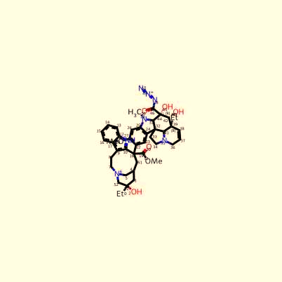 CCC1(O)CC2CN(CCc3c([nH]c4ccccc34)C(C(=O)OC)(c3cc4c(cc3OC)N(C)C3C45CCN4CC=C[C@](CC)(C45)[C@@H](O)[C@]3(O)C(=O)N=[N+]=[N-])C2)C1